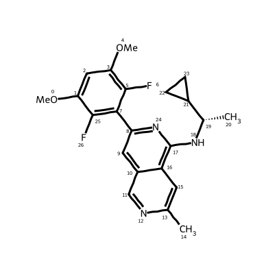 COc1cc(OC)c(F)c(-c2cc3cnc(C)cc3c(N[C@@H](C)C3CC3)n2)c1F